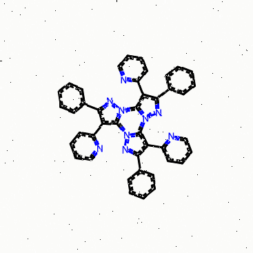 c1ccc(-c2nn3c(c2-c2ccccn2)n2nc(-c4ccccc4)c(-c4ccccn4)c2n2nc(-c4ccccc4)c(-c4ccccn4)c32)cc1